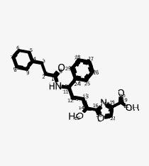 O=C(CCC1CCCCC1)NC(CCC(O)c1nc(C(=O)O)co1)c1ccccc1